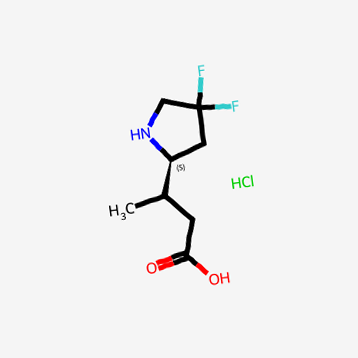 CC(CC(=O)O)[C@@H]1CC(F)(F)CN1.Cl